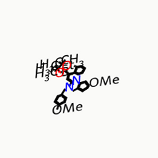 CCc1cccc2nc(N(Cc3ccc(OC)cc3)Cc3ccc(OC)cc3)cc(B3OC(C)(C)C(C)(C)O3)c12